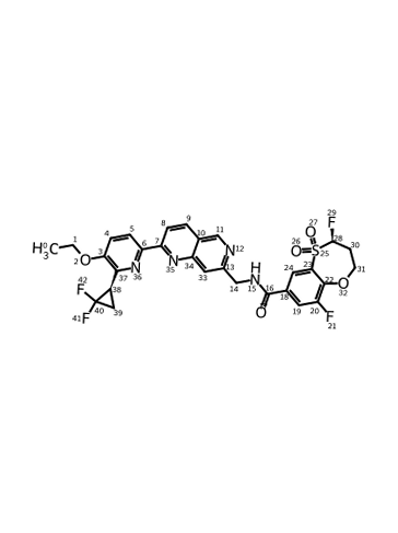 CCOc1ccc(-c2ccc3cnc(CNC(=O)c4cc(F)c5c(c4)S(=O)(=O)[C@@H](F)CCO5)cc3n2)nc1[C@H]1CC1(F)F